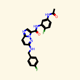 CC(=O)Nc1ccc(F)c(NC(=O)c2cnc3ccc(NCc4ccc(F)cc4)nn23)c1